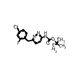 CC(C)(C)OC(=O)Nc1ccc(Cc2ccc(Cl)cc2F)nn1